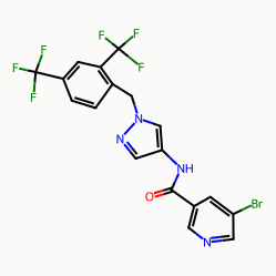 O=C(Nc1cnn(Cc2ccc(C(F)(F)F)cc2C(F)(F)F)c1)c1cncc(Br)c1